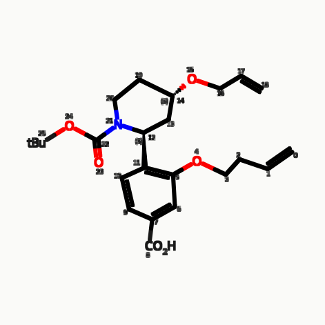 C=CCCOc1cc(C(=O)O)ccc1[C@@H]1C[C@@H](OCC=C)CCN1C(=O)OC(C)(C)C